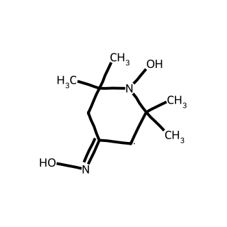 CC1(C)[CH]C(=NO)CC(C)(C)N1O